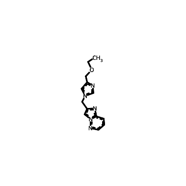 CCOCc1cn(Cc2cn3ncccc3n2)cn1